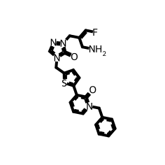 NC/C(=C\F)Cn1ncn(Cc2ccc(-c3cccn(Cc4ccccc4)c3=O)s2)c1=O